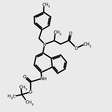 COC(=O)CC(C)N(Cc1ccc(C)cc1)c1ccc(NC(=O)OC(C)(C)C)c2ccccc12